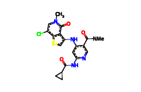 CNC(=O)c1cnc(NC(=O)C2CC2)cc1Nc1csc2c(Cl)cn(C)c(=O)c12